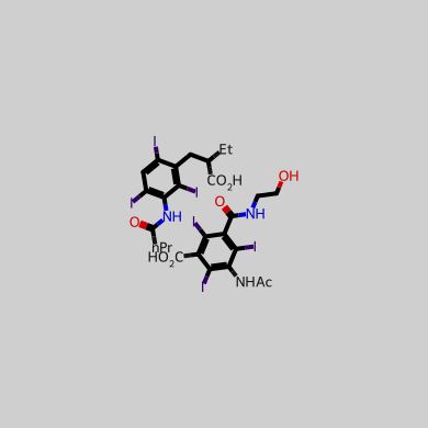 CC(=O)Nc1c(I)c(C(=O)O)c(I)c(C(=O)NCCO)c1I.CCCC(=O)Nc1c(I)cc(I)c(CC(CC)C(=O)O)c1I